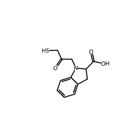 O=C(CS)CN1c2ccccc2CC1C(=O)O